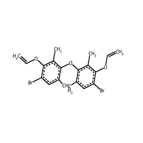 C=COc1c(Br)cc(C)c(Oc2c(C)cc(Br)c(OC=C)c2C)c1C